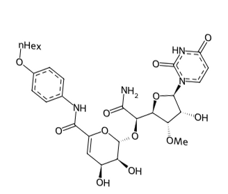 CCCCCCOc1ccc(NC(=O)C2=C[C@H](O)[C@H](O)[C@@H](O[C@@H](C(N)=O)[C@H]3O[C@@H](n4ccc(=O)[nH]c4=O)[C@H](O)[C@@H]3OC)O2)cc1